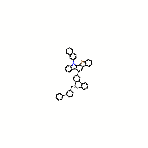 c1ccc(-c2cccc(C[C@@H]3Cc4ccccc4-c4cc(-c5cc6c7ccccc7sc6c6c5c5ccccc5n6-c5ccc6ccccc6c5)ccc43)c2)cc1